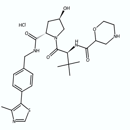 Cc1ncsc1-c1ccc(CNC(=O)[C@@H]2C[C@@H](O)CN2C(=O)[C@@H](NC(=O)C2CNCCO2)C(C)(C)C)cc1.Cl